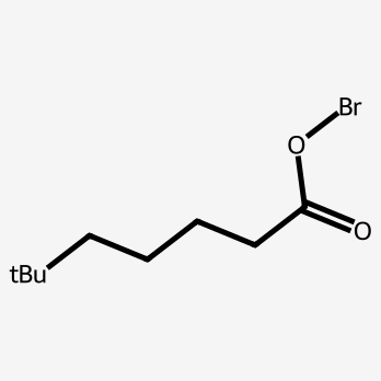 CC(C)(C)CCCCC(=O)OBr